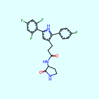 O=C(CCc1cc(-c2c(F)cc(F)cc2F)[nH]c1-c1ccc(F)cc1)NC1CCNC1=O